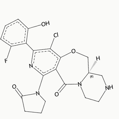 O=C1CCCN1c1nc(-c2c(O)cccc2F)c(Cl)c2c1C(=O)N1CCNC[C@@H]1CO2